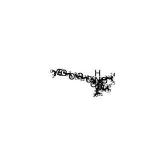 CC(C)CCOCCOCCOCCOCC(=O)NC(COCC(C)C)(COCC(C)C)COCC(C)C